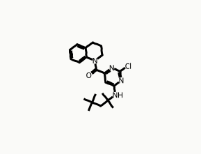 CC(C)(C)CC(C)(C)Nc1cc(C(=O)N2CCCc3ccccc32)nc(Cl)n1